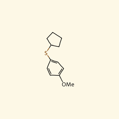 COc1ccc(S[C]2CCCC2)cc1